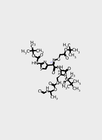 CC(NC=O)OC(=O)OC[C@H]1[C@@H](NC(=O)/C(=N\OCC(=O)OC(C)(C)C)c2csc(NC(=O)OC(C)(C)C)n2)C(=O)N1[Si](C)(C)C(C)(C)C